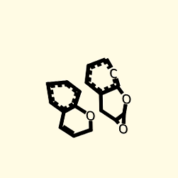 C1=Cc2ccccc2OC1.c1ccc2c(c1)CC1OC1O2